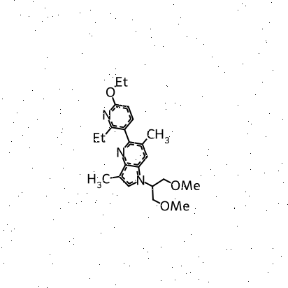 CCOc1ccc(-c2nc3c(C)cn(C(COC)COC)c3cc2C)c(CC)n1